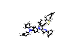 c1ccc(-c2ccc3c(n2)c2c4sc5ccccc5c4ccc2n3-c2ccc3c(c2)c2ccccc2n3-c2ccccc2)cc1